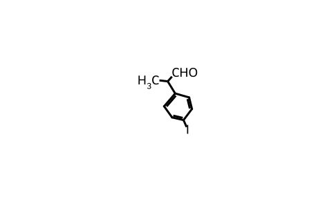 CC(C=O)c1ccc(I)cc1